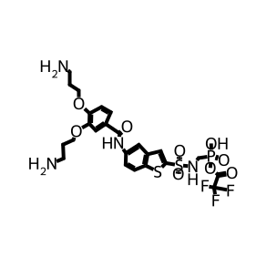 NCCCOc1ccc(C(=O)Nc2ccc3sc(S(=O)(=O)NCP(=O)(O)OC(=O)C(F)(F)F)cc3c2)cc1OCCCN